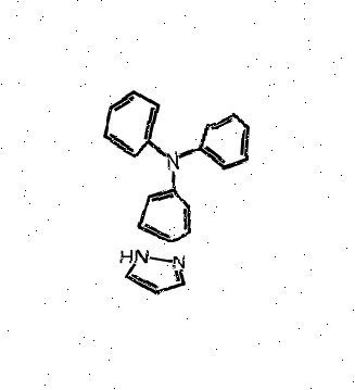 c1ccc(N(c2ccccc2)c2ccccc2)cc1.c1cn[nH]c1